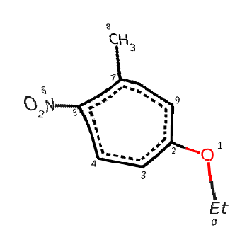 [CH2]COc1ccc([N+](=O)[O-])c(C)c1